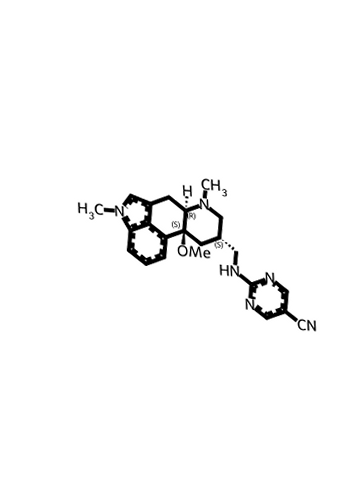 CO[C@]12C[C@@H](CNc3ncc(C#N)cn3)CN(C)[C@@H]1Cc1cn(C)c3cccc2c13